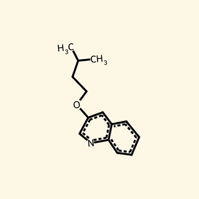 CC(C)CCOc1cnc2ccccc2c1